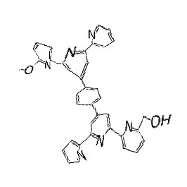 COc1cccc(-c2cc(-c3ccc(-c4cc(-c5ccccn5)nc(-c5cccc(CO)n5)c4)cc3)cc(-c3ccccn3)n2)n1